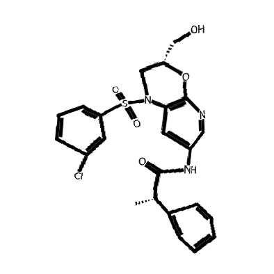 C[C@H](C(=O)Nc1cnc2c(c1)N(S(=O)(=O)c1cccc(Cl)c1)C[C@H](CO)O2)c1ccccc1